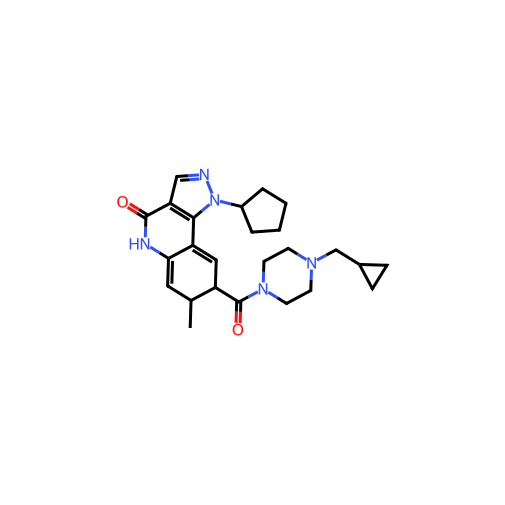 CC1C=c2[nH]c(=O)c3cnn(C4CCCC4)c3c2=CC1C(=O)N1CCN(CC2CC2)CC1